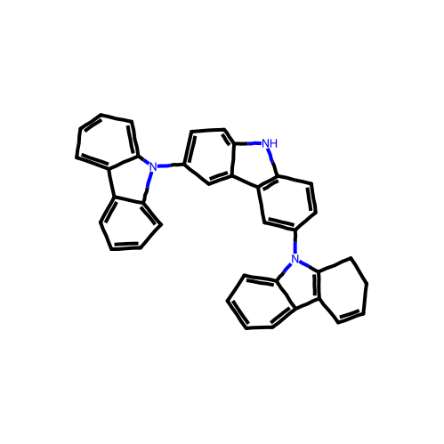 C1=Cc2c(n(-c3ccc4[nH]c5ccc(-n6c7ccccc7c7ccccc76)cc5c4c3)c3ccccc23)CC1